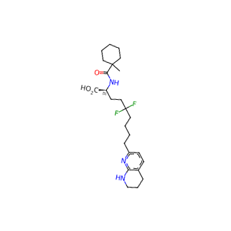 CC1(C(=O)N[C@@H](CCC(F)(F)CCCCc2ccc3c(n2)NCCC3)C(=O)O)CCCCC1